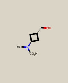 CC(C)(C)N(C(=O)O)[C@H]1C[C@H](CO)C1